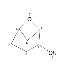 OC1CCC2CC1O2